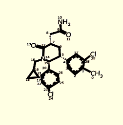 Cc1ccc([C@H]2C[C@@H](CC(N)=O)C(=O)N(CC3CC3)[C@@H]2c2ccc(Cl)cc2)cc1Cl